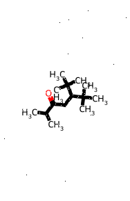 CC(C)C(=O)CC(C(C)(C)C)C(C)(C)C